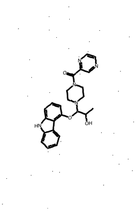 CC(O)C(Oc1cccc2[nH]c3ccccc3c12)N1CCN(C(=O)c2cnccn2)CC1